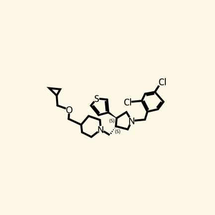 Clc1ccc(CN2C[C@H](CN3CCC(COCC4CC4)CC3)[C@@H](c3ccsc3)C2)c(Cl)c1